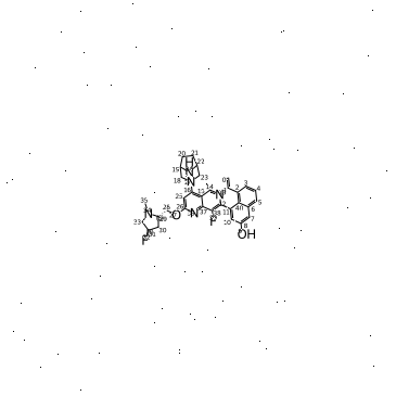 C=Cc1cccc2cc(O)cc(-c3ncc4c(N5CC6CCC(C5)N6)cc(OC[C@@H]5C[C@@H](F)CN5C)nc4c3F)c12